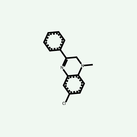 CN1CC(c2ccccc2)=Nc2cc(Cl)ccc21